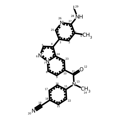 Cc1cc(-c2cnn3ccc(C(=O)N(C)c4ccc(C#N)cc4)cc23)cnc1NI